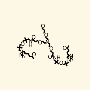 CC(=O)CCc1cn(CC(C)(C)COCC(C)(C)CNC(=O)CCOCCN(CCOCCC=O)CCOCCC(=O)NCC(C)(C)COCC(C)(C)Cn2cc(CCC(C)=O)nn2)nn1